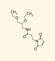 CCOCC(CNC(=O)CCN1C(=O)C=CC1=O)OCC